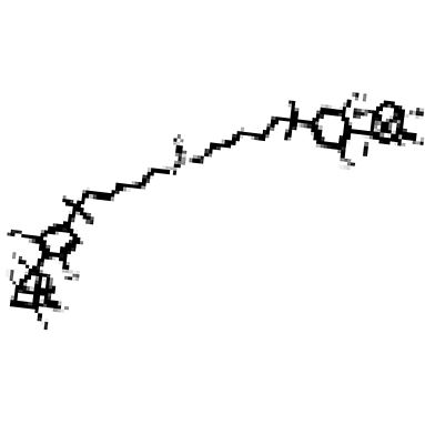 CC(C)(CCCCCO[N+](=O)OCCCCCC(C)(C)c1cc(O)c([C@@H]2CC(=O)[C@@H]3C[C@@H]2C3(C)C)c(O)c1)c1cc(O)c([C@@H]2CC(=O)[C@@H]3C[C@@H]2C3(C)C)c(O)c1